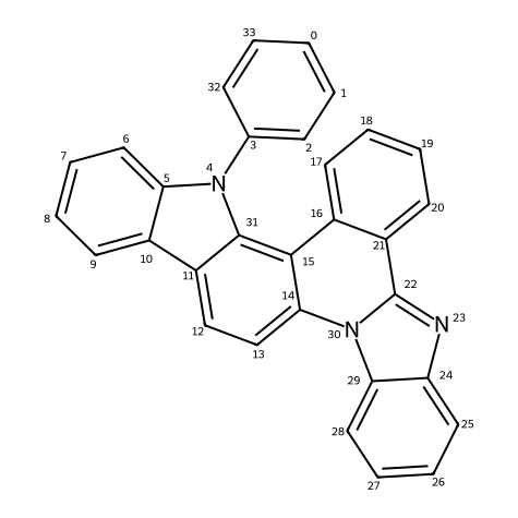 c1ccc(-n2c3ccccc3c3ccc4c(c5ccccc5c5nc6ccccc6n45)c32)cc1